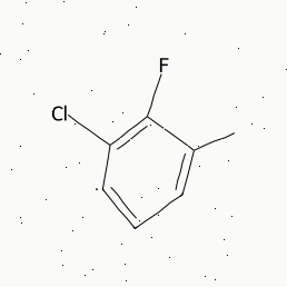 Cc1cc[c]c(Cl)c1F